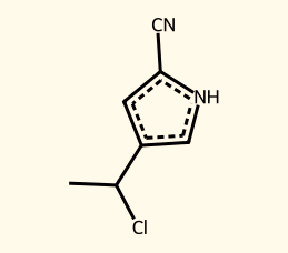 CC(Cl)c1c[nH]c(C#N)c1